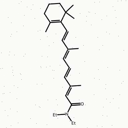 [CH2]CN(C[CH2])C(=O)/C=C(C)/C=C/C=C(C)/C=C/C1=C(C)CCCC1(C)C